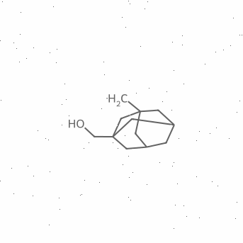 [CH2]C12CC3CC(C1)CC(CO)(C3)C2